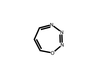 C1=CON=NN=C1